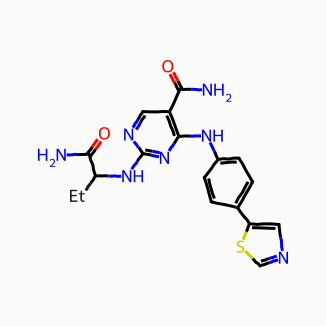 CCC(Nc1ncc(C(N)=O)c(Nc2ccc(-c3cncs3)cc2)n1)C(N)=O